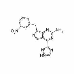 Nc1nc(-c2nc[nH]n2)c2cnn(Cc3cccc([N+](=O)[O-])c3)c2n1